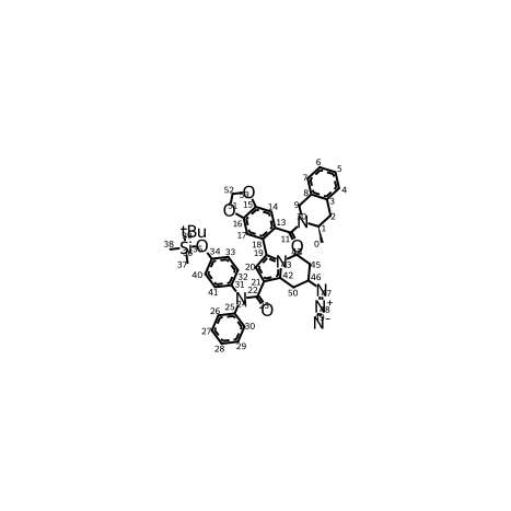 C[C@@H]1Cc2ccccc2CN1C(=O)c1cc2c(cc1-c1cc(C(=O)N(c3ccccc3)c3ccc(O[Si](C)(C)C(C)(C)C)cc3)c3n1CCC(N=[N+]=[N-])C3)OCO2